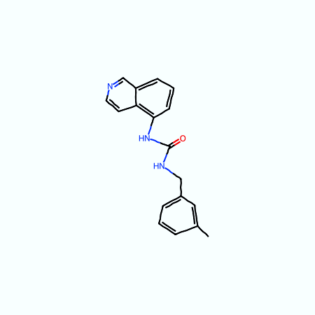 Cc1cccc(CNC(=O)Nc2cccc3cnccc23)c1